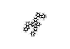 c1ccc(-c2ccc(-c3ccccc3)c(-c3nc(-c4ccc(-c5cccc6c5sc5ccccc56)cc4)nc(-c4cccc5c4sc4ccccc45)n3)c2)cc1